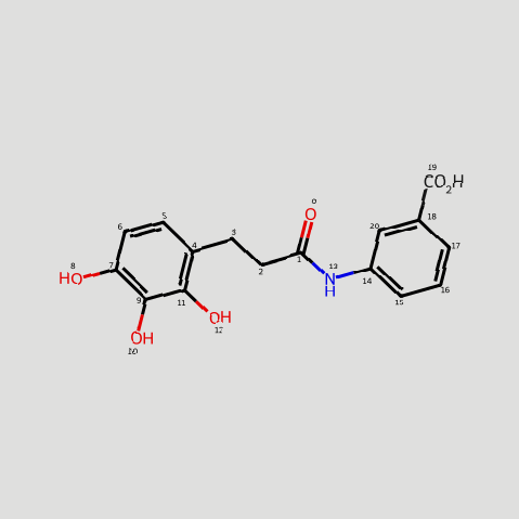 O=C(CCc1ccc(O)c(O)c1O)Nc1cccc(C(=O)O)c1